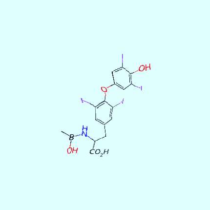 CB(O)NC(Cc1cc(I)c(Oc2cc(I)c(O)c(I)c2)c(I)c1)C(=O)O